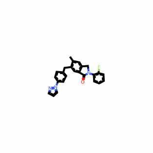 Cc1cc2c(cc1Cc1ccc(-n3cccn3)cc1)C(=O)N(c1ccccc1F)C2